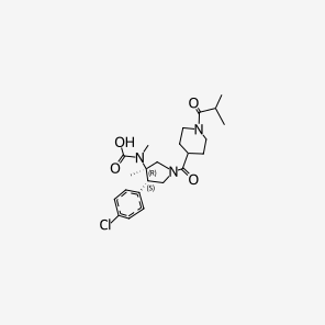 CC(C)C(=O)N1CCC(C(=O)N2C[C@H](c3ccc(Cl)cc3)[C@@](C)(N(C)C(=O)O)C2)CC1